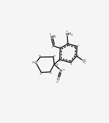 N=Cc1c(N)cc(Cl)cc1C1(N=O)CCOCC1